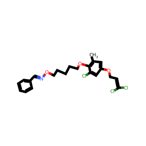 Cc1cc(OCC=C(Cl)Cl)cc(Cl)c1OCCCCCON=Cc1ccccc1